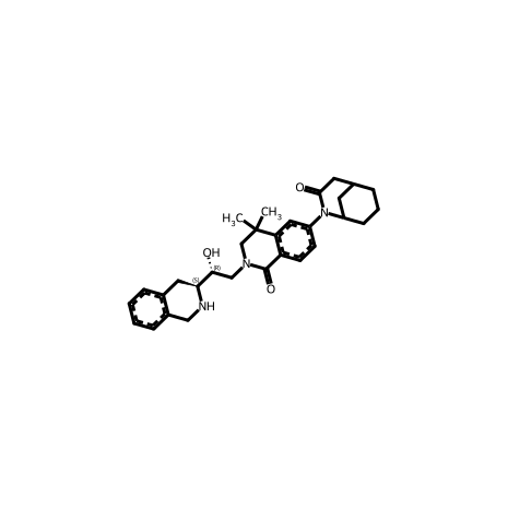 CC1(C)CN(C[C@@H](O)[C@@H]2Cc3ccccc3CN2)C(=O)c2ccc(N3C(=O)CC4CCCC3C4)cc21